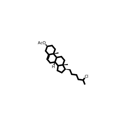 CC(=O)O[C@H]1CC[C@@]2(C)C(=CC[C@@H]3C2CC[C@@]2(C)C3CC[C@@H]2CCCCC(C)Cl)C1